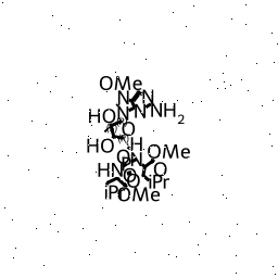 COC(=O)C(CC(C)C)NP(=O)(NC(CC(C)C)C(=O)OC)OC[C@H]1O[C@@H](n2cnc3c(OC)nc(N)nc32)[C@@](C)(O)C1O